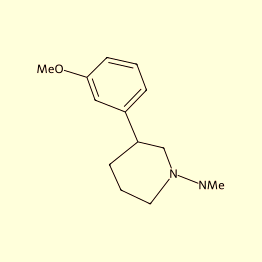 CNN1CCCC(c2cccc(OC)c2)C1